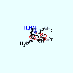 C=CCCC(=O)O[C@H]([C@@H](COC(=O)OC(C)C)OC#N)[C@@H](OC(=O)CCC=C)c1ccc2c(N)ncnn12